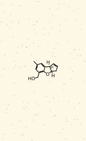 Cc1cc(CO)c2c(c1)[C@H]1C=CC[C@H]1O2